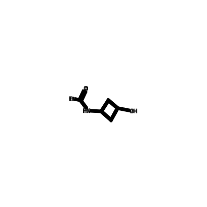 CCC(=O)NC1CC(O)C1